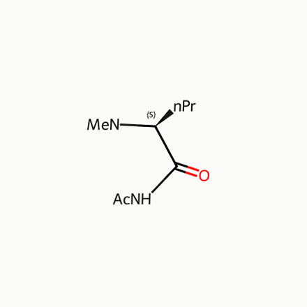 CCC[C@H](NC)C(=O)NC(C)=O